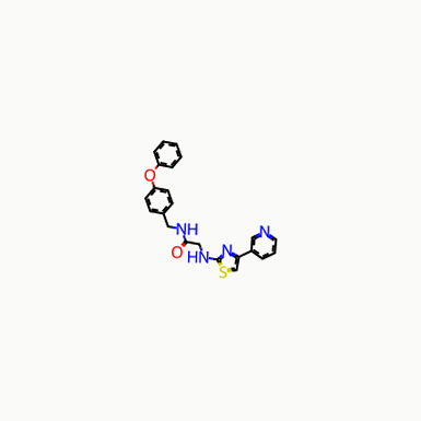 O=C(CNc1nc(-c2cccnc2)cs1)NCc1ccc(Oc2ccccc2)cc1